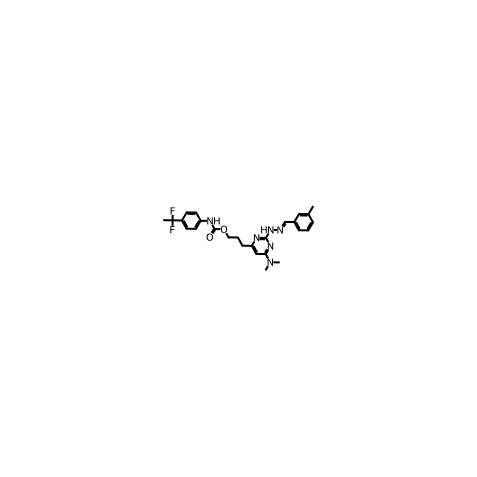 Cc1cccc(/C=N/Nc2nc(CCCOC(=O)Nc3ccc(C(C)(F)F)cc3)cc(N(C)C)n2)c1